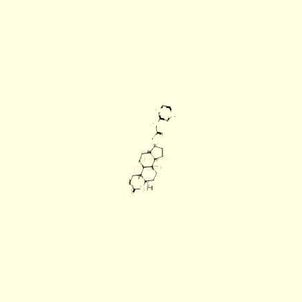 C[C@]12CCC(=O)N[C@@H]1CC[C@@H]1[C@@H]2CC[C@]2(C)[C@@H](CC(=O)Nc3cnccn3)CC[C@@H]12